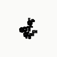 COc1cc([C@@H](C)NC[C@@H]2Cc3ccccc3[C@H](c3ccc(C)c(C(=O)O)c3C)C2)ccc1F.Cl